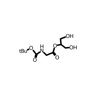 CC(C)(C)OC(=O)NCC(=O)OC(CO)CO